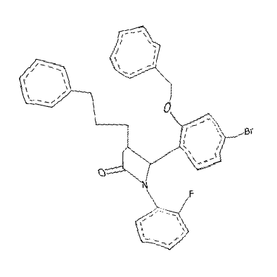 O=C1C(CCCc2ccccc2)C(c2ccc(Br)cc2OCc2ccccc2)N1c1ccccc1F